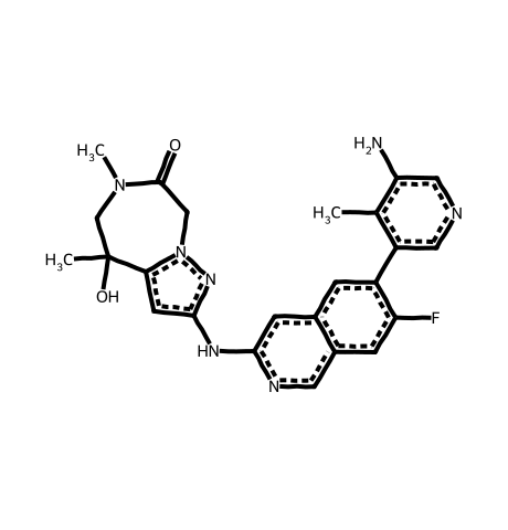 Cc1c(N)cncc1-c1cc2cc(Nc3cc4n(n3)CC(=O)N(C)CC4(C)O)ncc2cc1F